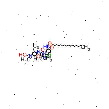 CCCCCCCCCCCCCCCCS(=O)(=O)Nc1ccc(Cl)c(NC(=O)/C(=N/c2ccc(N(CC)CCO)cc2C)C(=O)C(C)(C)C)c1